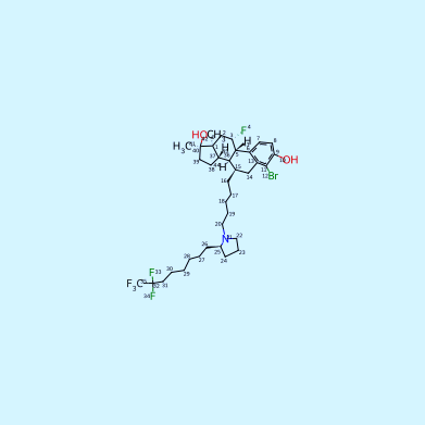 C[C@]12C[C@H](F)[C@@H]3c4ccc(O)c(Br)c4C[C@@H](CCCCCN4CCC[C@H]4CCCCCCC(F)(F)C(F)(F)F)[C@H]3[C@@H]1CC[C@@]2(C)O